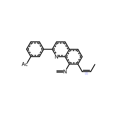 C=Nc1c(/C=C\C)ccc2ccc(-c3cccc(C(C)=O)c3)nc12